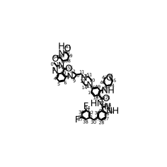 Cc1nc2cccc(N3CC(CN4CCN(c5ccc(C(=O)Nc6n[nH]c7ccc(Cc8cc(F)cc(F)c8)cc67)c(NC6CCOCC6)c5)CC4)C3)c2c(=O)n1C1CCC(=O)NC1=O